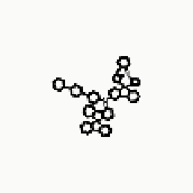 c1ccc(-c2ccc(-c3ccc(N(c4ccc5c(c4)-c4ccccc4C54c5ccccc5-n5c6ccccc6c6cccc4c65)c4cccc5c4-c4ccccc4C54c5ccccc5-c5ccccc54)cc3)cc2)cc1